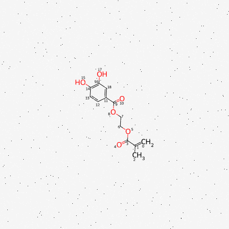 C=C(C)C(=O)OCCOC(=O)c1ccc(O)c(O)c1